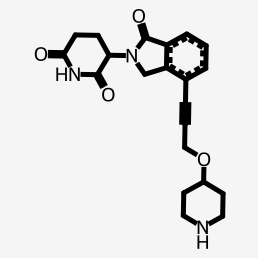 O=C1CCC(N2Cc3c(C#CCOC4CCNCC4)cccc3C2=O)C(=O)N1